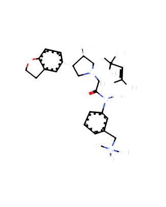 CCCCN(C(=O)CN1C[C@H](c2ccc3c(c2)CCO3)[C@@H](C(=O)O)[C@@H]1CC(C)(C)C=C(C)C)c1cccc(C[N+](C)(C)C)c1